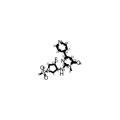 Cn1c(N[C@H]2CN(S(C)(=O)=O)C[C@H]2F)nc(-c2ccncc2)cc1=O